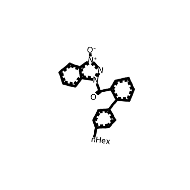 CCCCCCc1ccc(-c2ccccc2C(=O)n2n[n+]([O-])c3ccccc32)cc1